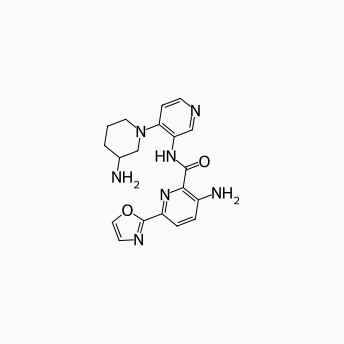 Nc1ccc(-c2ncco2)nc1C(=O)Nc1cnccc1N1CCCC(N)C1